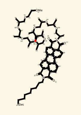 CCCCCCCCCCCCCCCCCCN1C(=O)c2ccc3c4ccc5c6c(ccc(c7ccc(c2c37)C1=O)c64)C(=O)N(C(C)COC(C)COC(C)COC(C)COC(C)COC(C)COC(C)COC(C)COC(C)COCCOC)C5=O